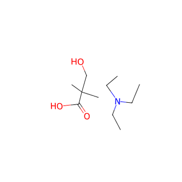 CC(C)(CO)C(=O)O.CCN(CC)CC